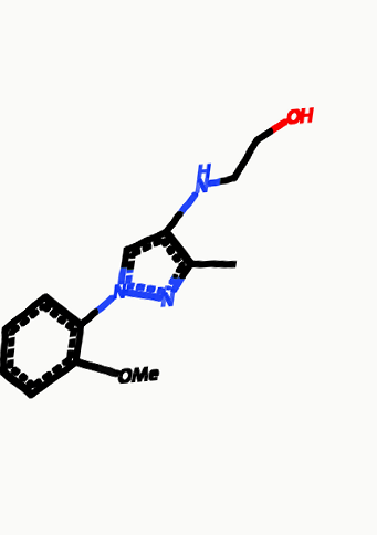 COc1ccccc1-n1cc(NCCO)c(C)n1